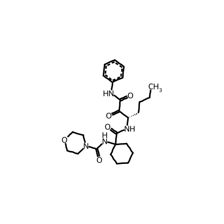 CCCC[C@H](NC(=O)C1(NC(=O)N2CCOCC2)CCCCC1)C(=O)C(=O)Nc1ccccc1